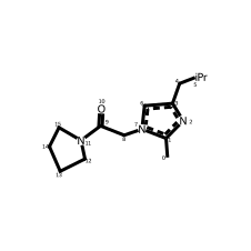 Cc1nc(CC(C)C)cn1CC(=O)N1CCCC1